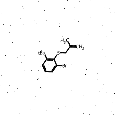 C=C(C)CSc1c(Br)cccc1C(C)(C)C